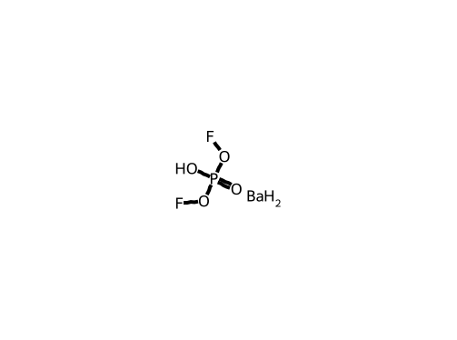 O=P(O)(OF)OF.[BaH2]